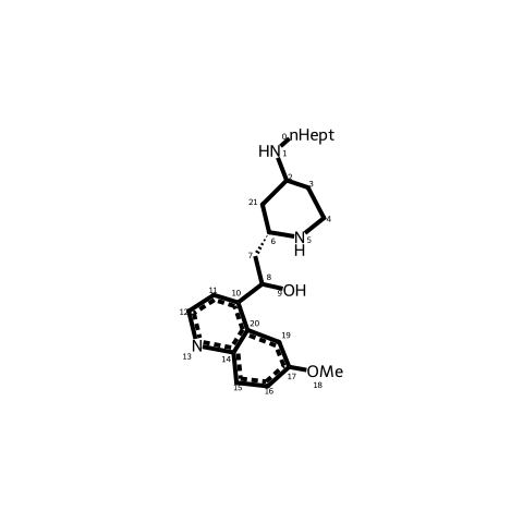 CCCCCCCNC1CCN[C@H](CC(O)c2ccnc3ccc(OC)cc23)C1